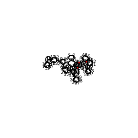 C1=CC2=C(CC1)C(c1ccc(-c3ccc4oc5ccccc5c4c3)cc1-c1cccc(-c3nc(-c4ccccc4)nc(-c4ccc(-c5ccccc5)c(-n5c6ccccc6c6ccccc65)c4)n3)c1)CCc1ccccc12